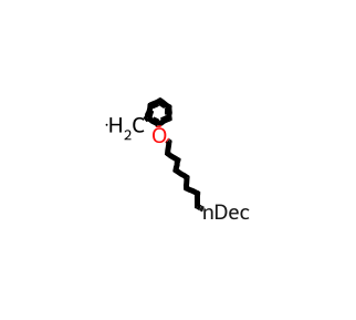 [CH2]c1ccccc1OCCCCCCCCCCCCCCCCCC